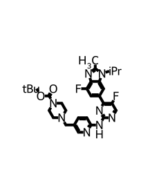 Cc1nc2c(F)cc(-c3nc(Nc4ccc(CN5CCN(C(=O)OC(C)(C)C)CC5)cn4)ncc3F)cc2n1C(C)C